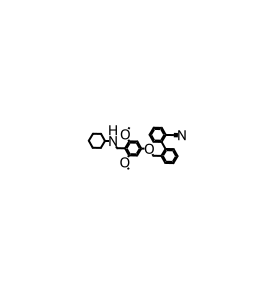 COc1cc(OCc2ccccc2-c2ccccc2C#N)cc(OC)c1CNC1CCCCC1